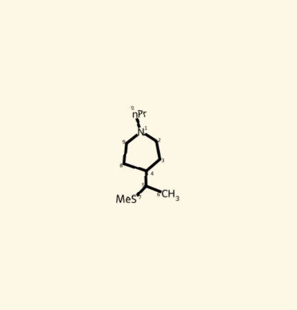 CCCN1CCC(C(C)SC)CC1